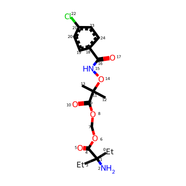 CCC(N)(CC)C(=O)OCOC(=O)C(C)(C)ONC(=O)c1ccc(Cl)cc1